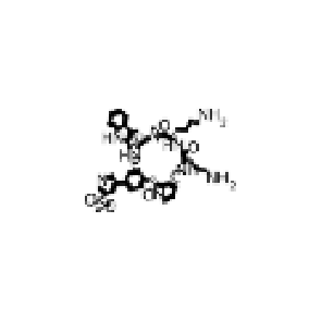 Cc1[nH]c2ccccc2c1C[C@H]1C(=O)NCc2cc(-c3cncc(S(C)(=O)=O)c3)cc(Cl)c2Sc2ncccc2CN[C@@H](CCCN)C(=O)N[C@@H](CCCCN)C(=O)N1C